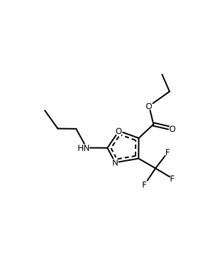 CCCNc1nc(C(F)(F)F)c(C(=O)OCC)o1